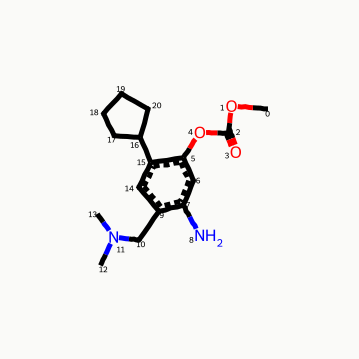 COC(=O)Oc1cc(N)c(CN(C)C)cc1C1CCCC1